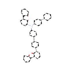 c1ccc(-c2ccc(N(c3ccc(-c4ccc(-c5cccc6c5oc5ccccc56)cc4)cc3)c3cccc4c3oc3ccccc34)cc2)cc1